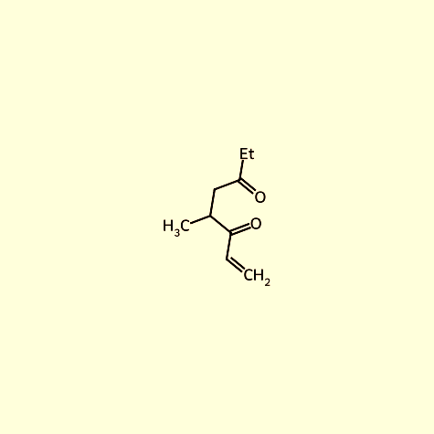 C=CC(=O)C(C)CC(=O)CC